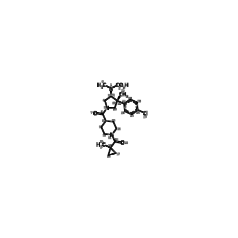 CN(C(=O)O)[C@@H]1CN(C(=O)C2CCN(C(=O)C3(C)CC3)CC2)C[C@@]1(C)c1ccc(Cl)cc1